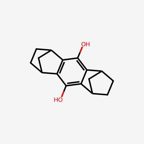 Oc1c2c(c(O)c3c1C1CCC3C1)C1CCC2C1